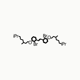 CC(C)CCCC(C)CCOc1cccc(/C=C/c2cccc(OCCC(C)CCCC(C)C)c2Br)c1Br